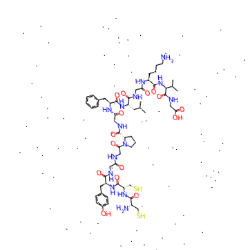 CC(C)C[C@H](NC(=O)[C@H](Cc1ccccc1)NC(=O)CNC(=O)[C@@H]1CCCN1C(=O)CNC(=O)CNC(=O)[C@H](Cc1ccc(O)cc1)NC(=O)[C@H](CS)NC(=O)[C@@H](N)CS)C(=O)NCC(=O)N[C@@H](CCCCN)C(=O)N[C@H](C(=O)NCC(=O)O)C(C)C